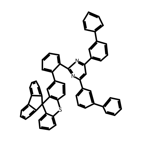 c1ccc(-c2cccc(-c3cc(-c4cccc(-c5ccccc5)c4)nc(-c4ccccc4-c4ccc5c(c4)C4(c6ccccc6S5)c5ccccc5-c5ccccc54)n3)c2)cc1